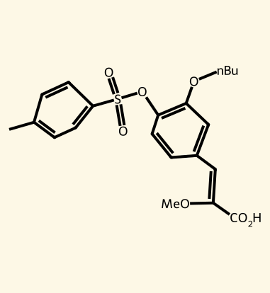 CCCCOc1cc(/C=C(\OC)C(=O)O)ccc1OS(=O)(=O)c1ccc(C)cc1